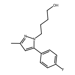 Cc1cc(-c2ccc(F)cc2)n(CCCCO)n1